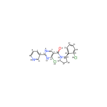 O=C(c1cnc(-c2cccnc2)nc1Cl)N1CCC[C@@H]1c1ccccc1Cl